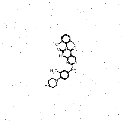 Cc1cc(Nc2ncc3c(=O)n(-c4c(Cl)cccc4Cl)c(=O)[nH]c3n2)ccc1N1CCNCC1